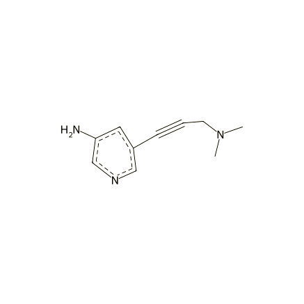 CN(C)CC#Cc1cncc(N)c1